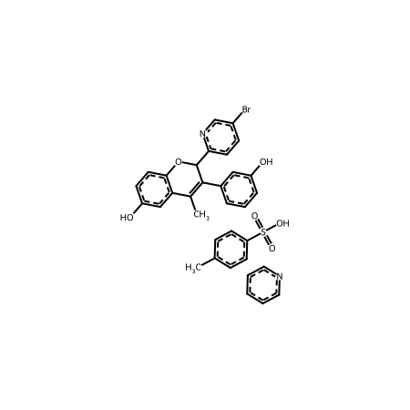 CC1=C(c2cccc(O)c2)C(c2ccc(Br)cn2)Oc2ccc(O)cc21.Cc1ccc(S(=O)(=O)O)cc1.c1ccncc1